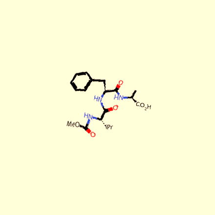 COC(=O)N[C@H](C(=O)N[C@@H](Cc1ccccc1)C(=O)N[C@@H](C)C(=O)O)C(C)C